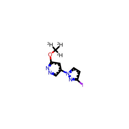 [2H]C([2H])([2H])Oc1cc(-n2ccc(I)n2)cnn1